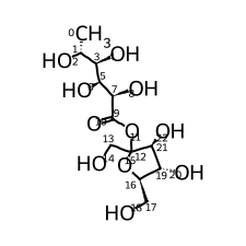 C[C@@H](O)[C@@H](O)[C@H](O)[C@@H](O)C(=O)OC1(CO)O[C@H](CO)[C@@H](O)[C@@H]1O